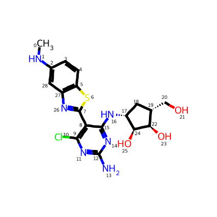 CNc1ccc2sc(-c3c(Cl)nc(N)nc3N[C@@H]3C[C@H](CO)[C@@H](O)[C@H]3O)nc2c1